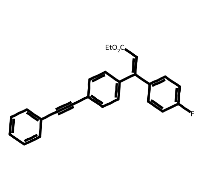 CCOC(=O)/C=C(/c1ccc(F)cc1)c1ccc(C#Cc2ccccc2)cc1